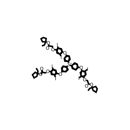 CCC1(OC(=O)COc2cc(I)c(Oc3ccc([S+](c4ccc(Oc5cc(I)c(OCC(=O)OC6(CC)CCCC6)cc5I)cc4)c4ccc(Oc5cc(I)c(OCC(=O)OC6(CC)CCCC6)cc5I)cc4)cc3)cc2I)CCCC1